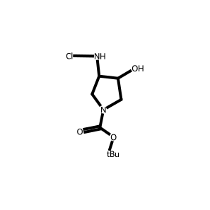 CC(C)(C)OC(=O)N1CC(O)C(NCl)C1